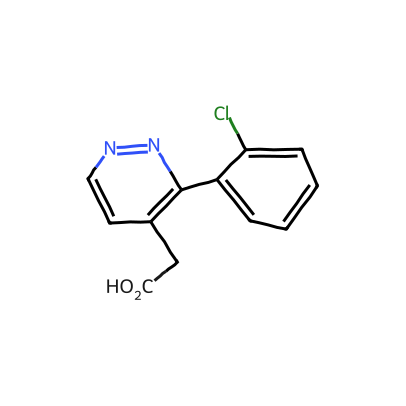 O=C(O)Cc1ccnnc1-c1ccccc1Cl